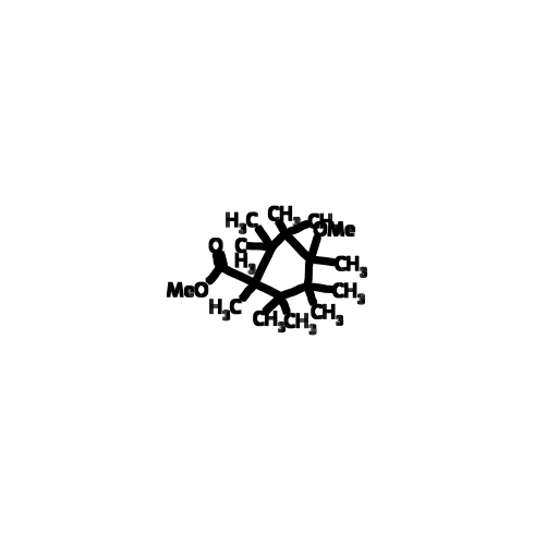 COC(=O)C1(C)C(C)(C)C(C)(C)C(C)(OC)C(C)(C)C1(C)C